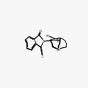 O=C1c2ccccc2C(=O)N1[C@H]1CN2CCC1CC2